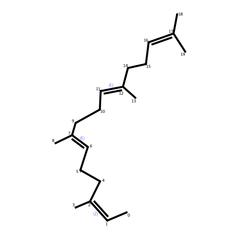 C/C=C(/C)C[CH]/C=C(\C)CC/C=C(\C)CCC=C(C)C